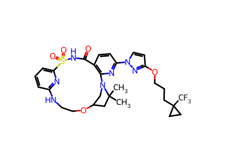 CC1(C)CC2CN1c1nc(-n3ccc(OCCCC4(C(F)(F)F)CC4)n3)ccc1C(=O)NS(=O)(=O)c1cccc(n1)NCCO2